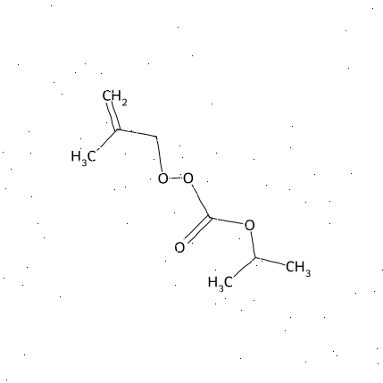 C=C(C)COOC(=O)OC(C)C